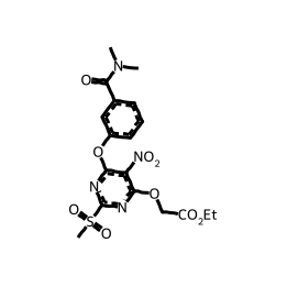 CCOC(=O)COc1nc(S(C)(=O)=O)nc(Oc2cccc(C(=O)N(C)C)c2)c1[N+](=O)[O-]